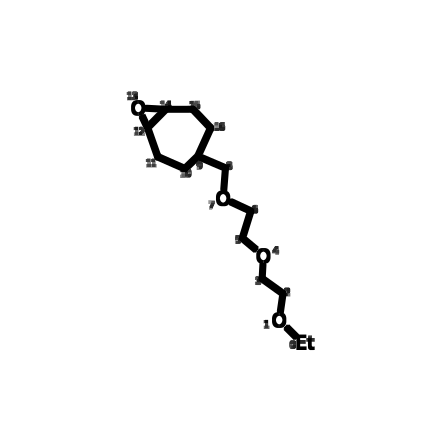 CCOCCOCCOCC1CCC2OC2CC1